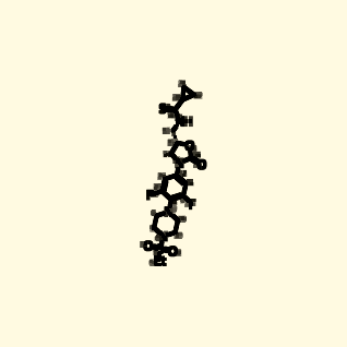 CCS(=O)(=O)N1CCN(c2c(F)cc(N3C[C@H](CNC(=S)C4CC4)OC3=O)cc2F)CC1